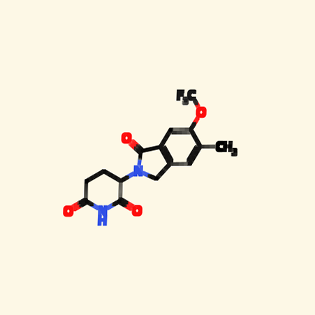 Cc1cc2c(cc1OC(F)(F)F)C(=O)N(C1CCC(=O)NC1=O)C2